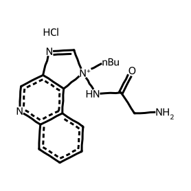 CCCC[N+]1(NC(=O)CN)C=Nc2cnc3ccccc3c21.Cl